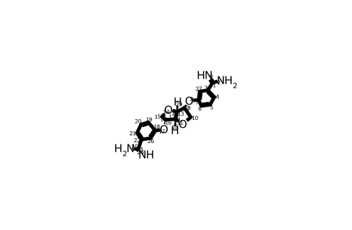 N=C(N)c1cccc(O[C@H]2CO[C@H]3[C@@H]2OC[C@H]3Oc2cccc(C(=N)N)c2)c1